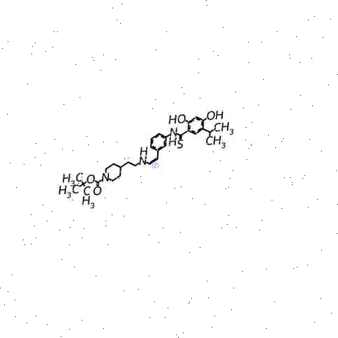 CC(C)c1cc(C(=S)Nc2cccc(/C=C\NCCC3CCN(C(=O)OC(C)(C)C)CC3)c2)c(O)cc1O